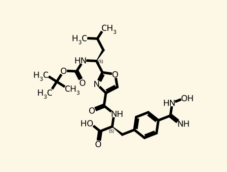 CC(C)C[C@H](NC(=O)OC(C)(C)C)c1nc(C(=O)N[C@@H](Cc2ccc(C(=N)NO)cc2)C(=O)O)co1